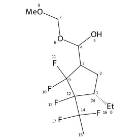 CC[C@H]1CC(C(O)OCOC)C(F)(F)C1(F)C(C)(F)F